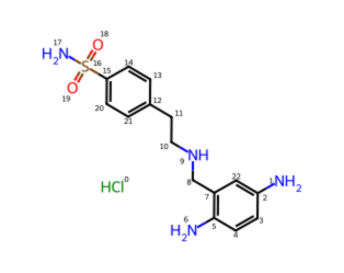 Cl.Nc1ccc(N)c(CNCCc2ccc(S(N)(=O)=O)cc2)c1